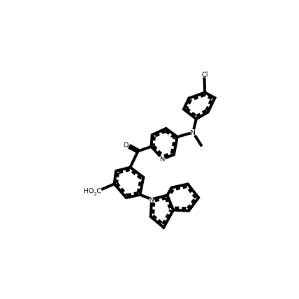 CN(c1ccc(Cl)cc1)c1ccc(C(=O)c2cc(C(=O)O)cc(-n3ccc4ccccc43)c2)nc1